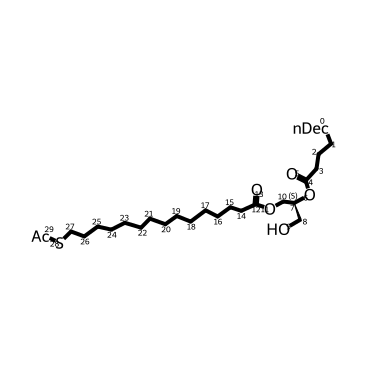 CCCCCCCCCCCCCC(=O)O[C@@H](CO)COC(=O)CCCCCCCCCCCCCCSC(C)=O